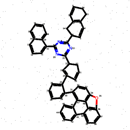 C1=CC2=C(C=CC(c3nc(-c4cccc5ccccc45)nc(C4C=C(c5ccccc5-c5ccc6oc7cccc8c9ccccc9c5c6c78)C=CC4)n3)C2)CC1